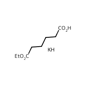 CCOC(=O)CCCCC(=O)O.[KH]